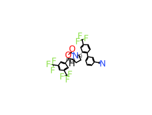 N#Cc1cccc(-c2ccc(C(F)(F)F)cc2[C@@H]2CC[C@H]3[C@@H](c4cc(C(F)(F)F)cc(C(F)(F)F)c4)OC(=O)N23)c1